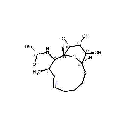 C[C@@H]1/C=C/CCCS[C@H]2O[C@@H]([C@H](O)[C@H](O)[C@H]2O)[C@@H]1N[S@+]([O-])C(C)(C)C